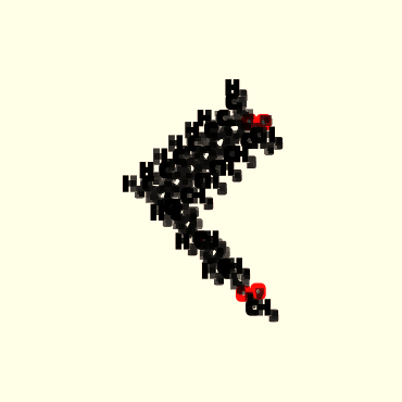 CCCCOC(C)=O.CCCCOC(C)=O.Cc1ccc(C)cc1.Cc1ccc(C)cc1.Cc1ccc(C)cc1.Cc1ccc(C)cc1.Cc1ccc(C)cc1.Cc1ccc(C)cc1.Cc1ccc(C)cc1.Cc1ccc(C)cc1